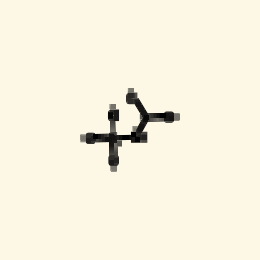 O=C(Cl)NS(=O)(=O)Cl